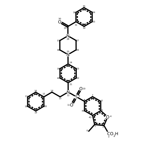 Cc1c(C(=O)O)oc2ccc(S(=O)(=O)N(CCc3ccccc3)c3ccc(N4CCN(C(=O)c5ccccc5)CC4)cc3)cc12